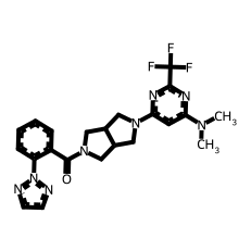 CN(C)c1cc(N2CC3CN(C(=O)c4ccccc4-n4nccn4)CC3C2)nc(C(F)(F)F)n1